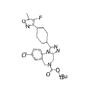 Cc1onc(C2CCC(c3nnc4n3-c3ccc(Cl)cc3CN(C(=O)OC(C)(C)C)C4)CC2)c1F